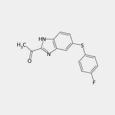 CC(=O)c1nc2cc(Sc3ccc(F)cc3)ccc2[nH]1